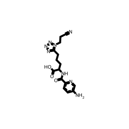 N#CCCn1nnnc1CCCC(NC(=O)c1ccc(N)cn1)C(=O)O